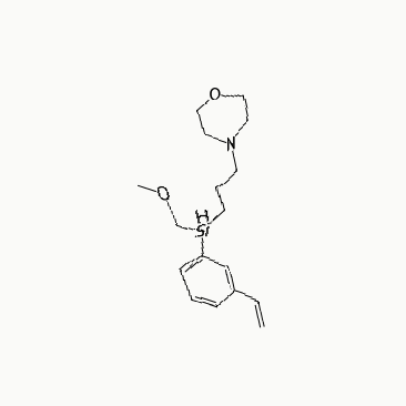 C=Cc1cccc([SiH](CCCN2CCOCC2)COC)c1